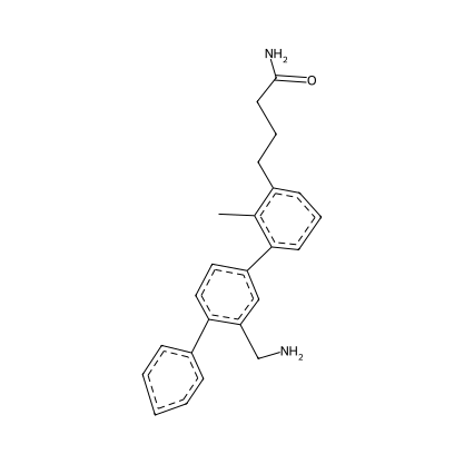 Cc1c(CCCC(N)=O)cccc1-c1ccc(-c2ccccc2)c(CN)c1